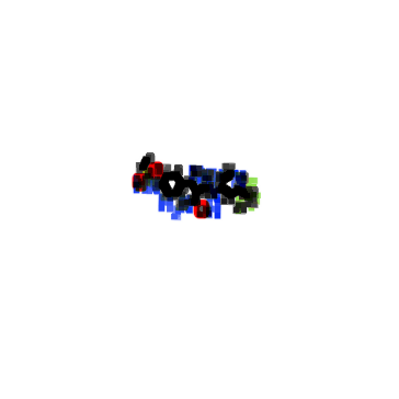 CCS(=O)(=O)Nc1ccc(-c2n[nH]c(Nc3ccnc(C(F)(F)F)c3)c2C(N)=O)cc1